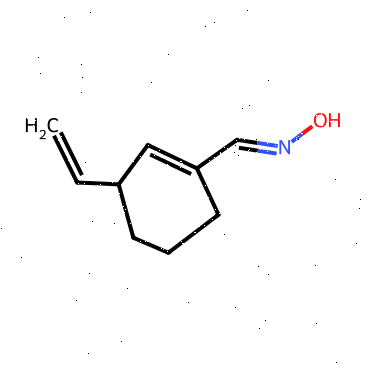 C=CC1C=C(C=NO)CCC1